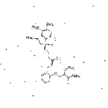 CCCCCCCCCCCCC(C#N)(CCCN(C)CCc1ccccc1OCC(O[N+](=O)[O-])C(C)NC(C)=O)c1ccc(OC)c(OC)c1